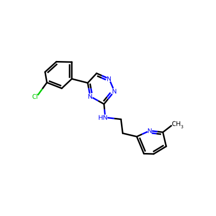 Cc1cccc(CCNc2nncc(-c3cccc(Cl)c3)n2)n1